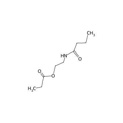 CCCC(=O)NCCOC(=O)CC